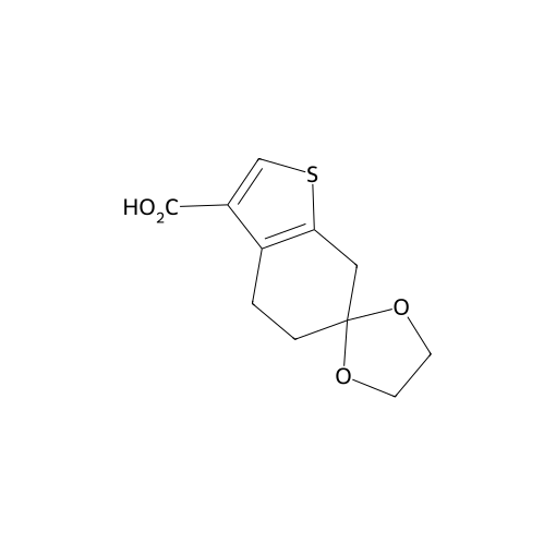 O=C(O)c1csc2c1CCC1(C2)OCCO1